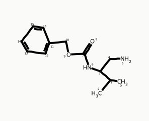 CC(C)C(CN)NC(=O)OCc1ccccc1